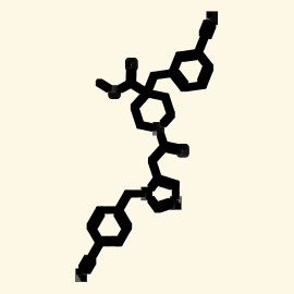 COC(=O)C1(Cc2cccc(C#N)c2)CCN(C(=O)Cc2cncn2Cc2ccc(C#N)cc2)CC1